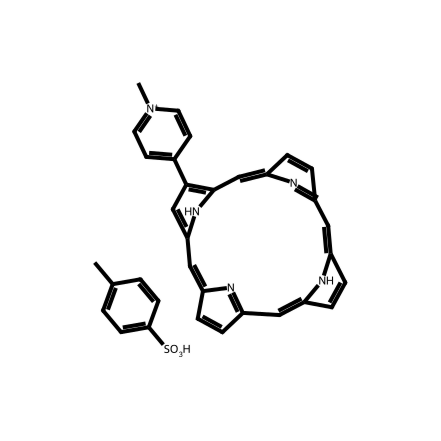 C[n+]1ccc(-c2cc3cc4nc(cc5ccc(cc6nc(cc2[nH]3)C=C6)[nH]5)C=C4)cc1.Cc1ccc(S(=O)(=O)O)cc1